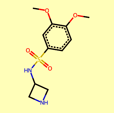 COc1ccc(S(=O)(=O)NC2CNC2)cc1OC